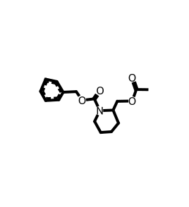 CC(=O)OCC1CCCCN1C(=O)OCc1ccccc1